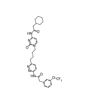 O=C(Cc1cccc(OC(F)(F)F)c1)Nc1ccc(CCCCn2ccc(NC(=O)CC3CCCCC3)nc2=O)nn1